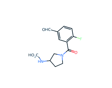 O=Cc1ccc(F)c(C(=O)N2CCC(NC(=O)O)C2)c1